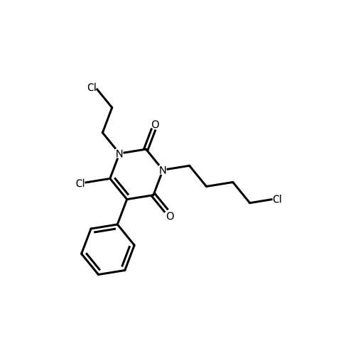 O=c1c(-c2ccccc2)c(Cl)n(CCCl)c(=O)n1CCCCCl